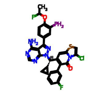 CC(F)Oc1ccc(-c2nn([C@H](c3cc4scc(Cl)n4c(=O)c3-c3cccc(F)c3)C3CC3)c3ncnc(N)c23)cc1P